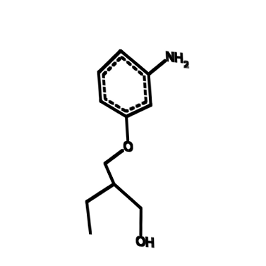 CCC(CO)COc1cccc(N)c1